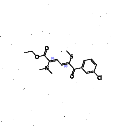 CCOC(=O)/C(=C/C=C(\SC)C(=O)c1cccc(Cl)c1)N(C)C